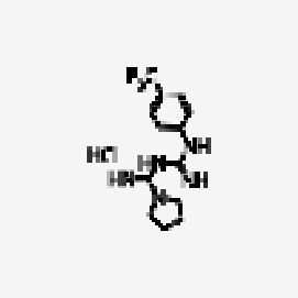 Cl.N=C(NC(=N)N1CCCC1)Nc1ccc(C(F)(F)F)cc1